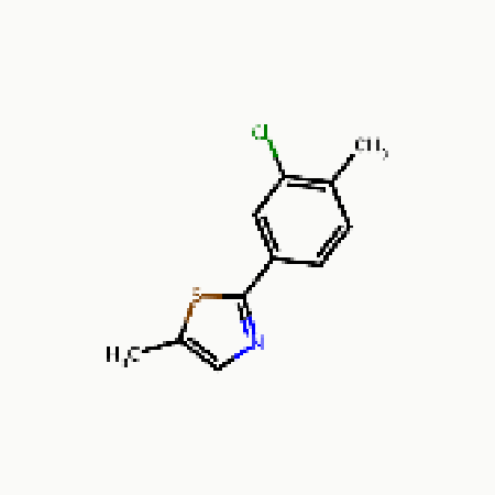 Cc1cnc(-c2ccc(C)c(Cl)c2)s1